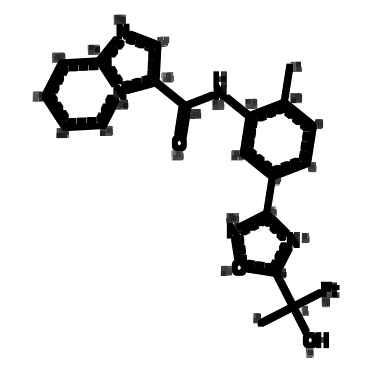 CCC(C)(O)c1nc(-c2ccc(C)c(NC(=O)c3cnc4ccccn34)c2)no1